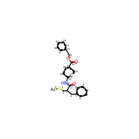 CC(=O)SCC(Cc1ccccc1)C(=O)Nc1ccc(C(=O)OCc2ccccc2)cc1